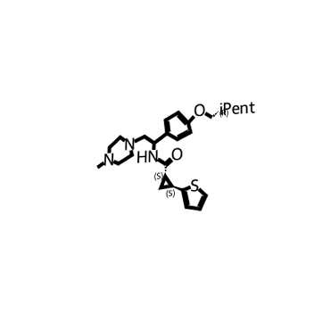 CCC[C@@H](C)COc1ccc(C(CN2CCN(C)CC2)NC(=O)[C@H]2C[C@@H]2c2cccs2)cc1